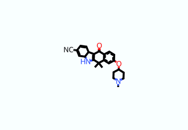 CN1CCC(Oc2ccc3c(c2)C(C)(C)C2=C(C3=O)C3C=CC(C#N)=CC3N2)CC1